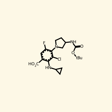 CC(C)(C)OC(=O)NC1CCN(c2c(F)cc(C(=O)O)c(NC3CC3)c2Cl)C1